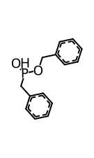 O=[PH](Cc1ccccc1)OCc1ccccc1